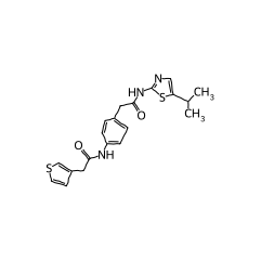 CC(C)c1cnc(NC(=O)Cc2ccc(NC(=O)Cc3ccsc3)cc2)s1